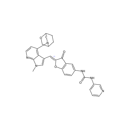 Cn1cc(/C=C2\Oc3ccc(NC(=O)Nc4cccnc4)cc3C2=O)c2c(N3CC4CCC3CO4)ccnc21